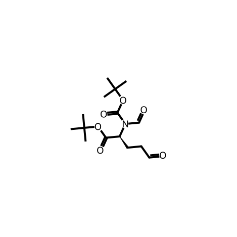 CC(C)(C)OC(=O)[C@H](CCC=O)N(C=O)C(=O)OC(C)(C)C